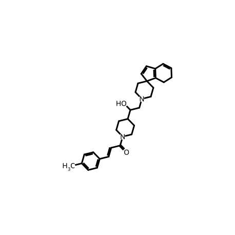 Cc1ccc(/C=C/C(=O)N2CCC(C(O)CN3CCC4(C=CC5=C4CCC=C5)CC3)CC2)cc1